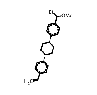 C=Cc1ccc([C@H]2CC[C@H](c3ccc(C(CC)OC)cc3)CC2)cc1